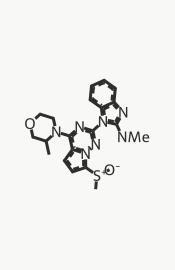 CNc1nc2ccccc2n1-c1nc(N2CCOCC2C)c2ccc([S+](C)[O-])n2n1